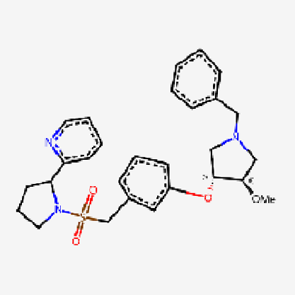 CO[C@@H]1CN(Cc2ccccc2)C[C@H]1Oc1cccc(CS(=O)(=O)N2CCCC2c2ccccn2)c1